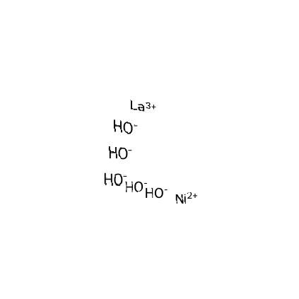 [La+3].[Ni+2].[OH-].[OH-].[OH-].[OH-].[OH-]